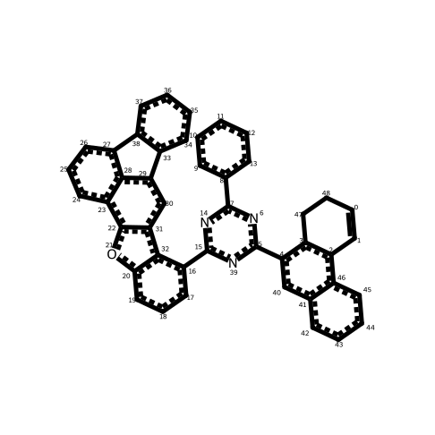 C1=Cc2c(c(-c3nc(-c4ccccc4)nc(-c4cccc5oc6c7cccc8c7c(cc6c45)-c4ccccc4-8)n3)cc3ccccc23)CC1